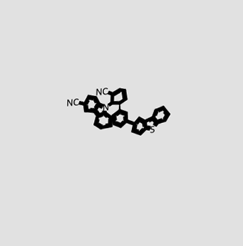 N#CC1=CC=C[C@@H](c2cccc(-c3ccc4sc5ccccc5c4c3)c2)C1n1c2ccccc2c2cc(C#N)ccc21